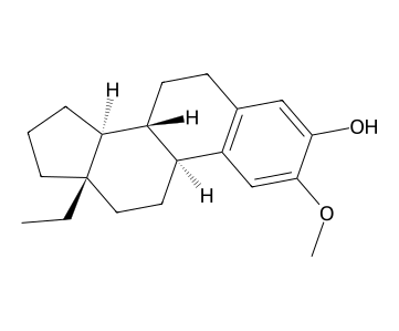 CC[C@@]12CCC[C@H]1[C@@H]1CCc3cc(O)c(OC)cc3[C@H]1CC2